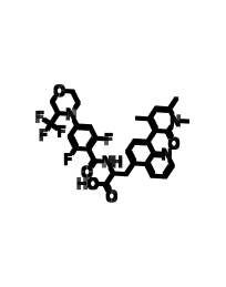 Cc1cc(C)n(C)c(=O)c1-c1ccc(CC(NC(=O)c2c(F)cc(N3CCOCC3C(F)(F)F)cc2F)C(=O)O)c2cccnc12